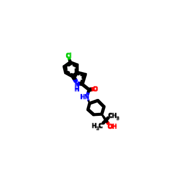 CC(C)(O)[C@H]1CC[C@H](NC(=O)c2cc3cc(Cl)ccc3[nH]2)CC1